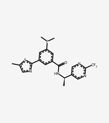 Cc1cnc(-c2cc(C(=O)N[C@H](C)c3cnc(C(F)(F)F)nc3)cc(P(C)C)c2)s1